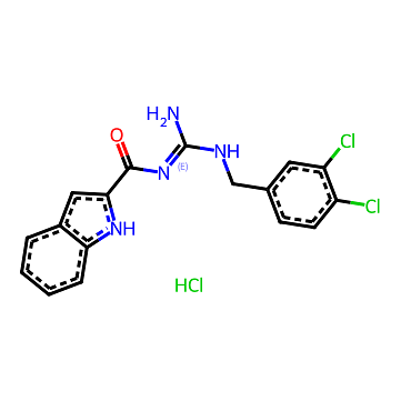 Cl.N/C(=N\C(=O)c1cc2ccccc2[nH]1)NCc1ccc(Cl)c(Cl)c1